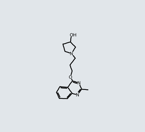 Cc1nc(OCCCN2CCC(O)C2)c2ccccc2n1